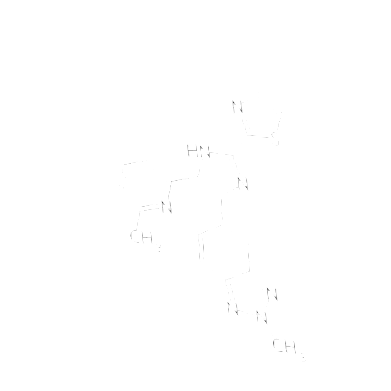 Cc1cccc(-c2[nH]c(-c3nccs3)nc2-c2ccc3nn(C)nc3c2)n1